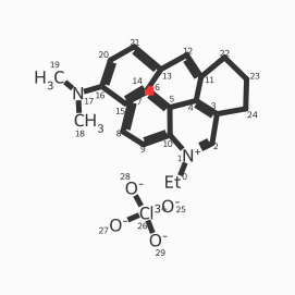 CC[n+]1cc2c(c3ccccc31)/C(=C\c1ccc(N(C)C)cc1)CCC2.[O-][Cl+3]([O-])([O-])[O-]